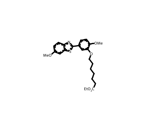 CCOC(=O)CCCCCCOc1cc(-c2nc3ccc(OC)cc3s2)ccc1OC